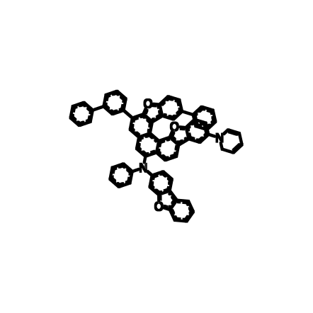 C1=CCN(c2ccc3oc4c(ccc5c(N(c6ccccc6)c6ccc7c(c6)oc6ccccc67)cc6cc(-c7cccc(-c8ccccc8)c7)c7oc8ccc(-c9ccccc9)cc8c7c6c54)c3c2)C=C1